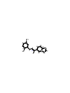 C/C(=C\Cc1cc(F)ccc1F)c1ccc2ncnn2c1